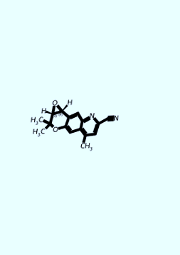 Cc1cc(C#N)nc2cc3c(cc12)OC(C)(C)[C@@H]1O[C@H]31